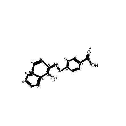 O=C(O)c1ccc(N=Nc2ccc3ccccc3c2O)cc1